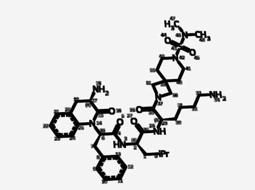 CC(C)C[C@@H](NC(=O)[C@@H](Cc1ccccc1)N1C(=O)[C@H](N)Cc2ccccc21)C(=O)N[C@H](CCCCN)C(=O)N1CC2(CCN(S(=O)(=O)N(C)C)CC2)C1